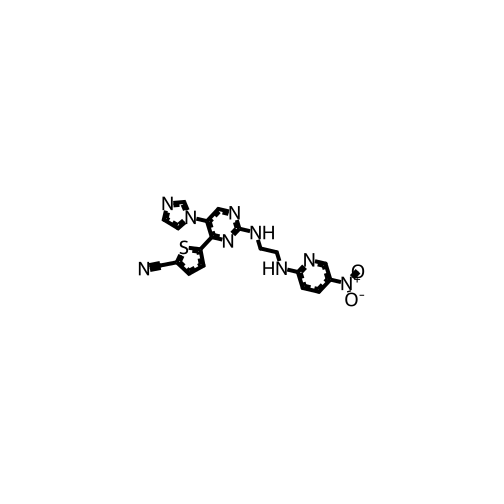 N#Cc1ccc(-c2nc(NCCNc3ccc([N+](=O)[O-])cn3)ncc2-n2ccnc2)s1